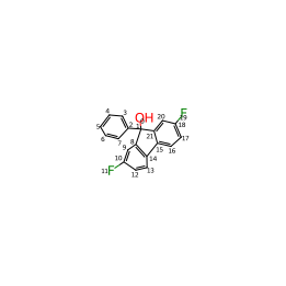 OC1(c2ccccc2)c2cc(F)ccc2-c2ccc(F)cc21